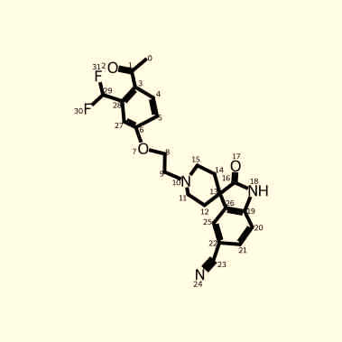 CC(=O)c1ccc(OCCN2CCC3(CC2)C(=O)Nc2ccc(C#N)cc23)cc1C(F)F